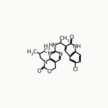 CC(C)CN1C(=O)OCc2cnc(NC(C)c3cc4cc(Cl)ccc4[nH]c3=O)nc21